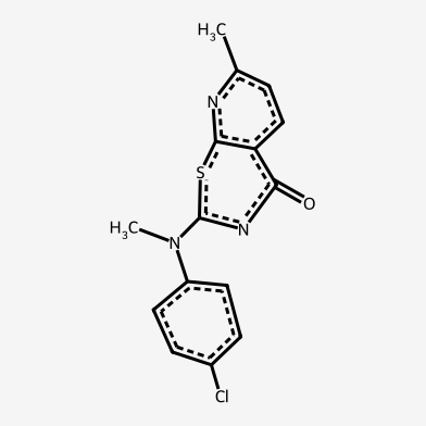 Cc1ccc2c(=O)nc(N(C)c3ccc(Cl)cc3)sc2n1